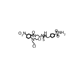 NS(=O)(=O)c1ccc(CNC(=S)NCCNC(=O)c2cc([N+](=O)[O-])ccc2N(CCCl)CCCl)cc1